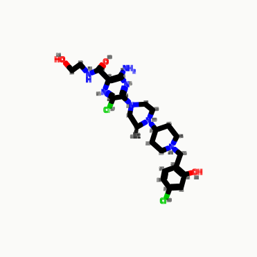 CC[C@H]1CN(c2nc(N)c(C(=O)NCCO)nc2Cl)CCN1C1CCN(Cc2ccc(Cl)cc2O)CC1